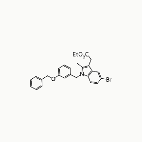 CCOC(=O)Cc1c(C)n(Cc2cccc(OCc3ccccc3)c2)c2ccc(Br)cc12